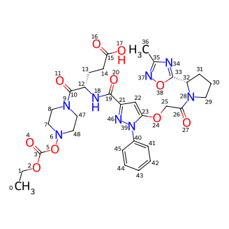 CCOC(=O)ON1CCN(C(=O)[C@H](CCC(=O)O)NC(=O)c2cc(OCC(=O)N3CCC[C@H]3c3nc(C)no3)n(-c3ccccc3)n2)CC1